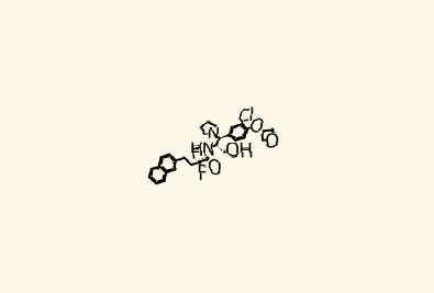 O=C(N[C@@H](CO)[C@H](c1ccc(OC2COC2)c(Cl)c1)N1CCCC1)C(F)(F)CCc1ccc2ccccc2c1